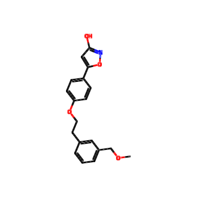 COCc1cccc(CCOc2ccc(-c3cc(O)no3)cc2)c1